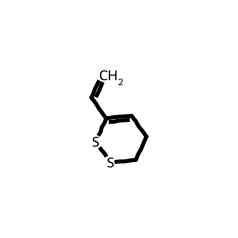 C=CC1=CCCSS1